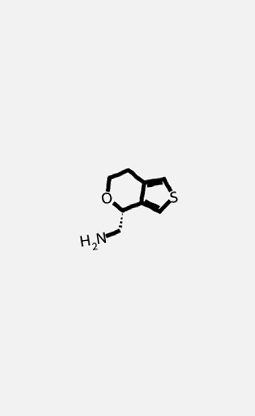 NC[C@@H]1OCCc2cscc21